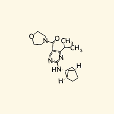 CC(C)c1nc(N[C@@H]2C[C@H]3CC[C@@H]2C3)ncc1C(=O)N1CCOCC1